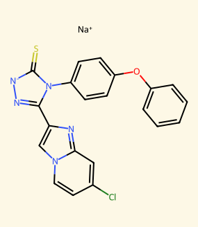 S=c1[n-]nc(-c2cn3ccc(Cl)cc3n2)n1-c1ccc(Oc2ccccc2)cc1.[Na+]